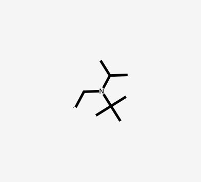 [CH2]CN(C(C)C)C(C)(C)C